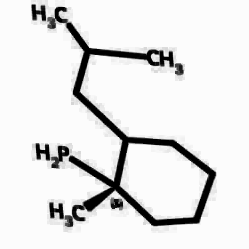 CC(C)CC1CCCC[C@]1(C)P